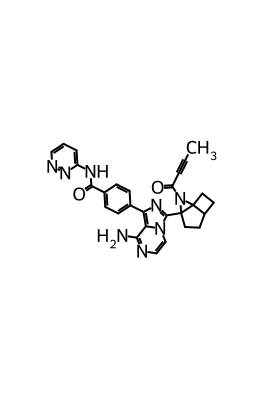 CC#CC(=O)N1C2(c3nc(-c4ccc(C(=O)Nc5cccnn5)cc4)c4c(N)nccn34)CCC3CCC312